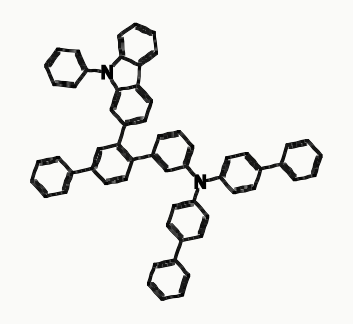 c1ccc(-c2ccc(N(c3ccc(-c4ccccc4)cc3)c3cccc(-c4ccc(-c5ccccc5)cc4-c4ccc5c6ccccc6n(-c6ccccc6)c5c4)c3)cc2)cc1